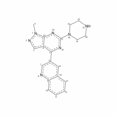 Cn1ncc2c(-c3cnc4ccccc4c3)nc(N3CCNCC3)nc21